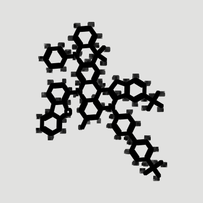 Cc1cc2c3c(c1)N(c1cccc4c1oc1ccccc14)c1cc4c(cc1C3C1=C(c3cc(C(C)(C)C)ccc3C1)N2c1ccc(-c2ccc(C(C)(C)C)cc2)cc1)C(C)(C)c1ccccc1N4c1ccccc1